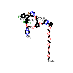 COCCOCCOCCOCCOCCOCCOCC1(c2nccc(COc3ccc4cc3C[C@H](C(=O)O)Oc3ncnc5sc(-c6ccc(F)cc6)c(c35)-c3c(C)c(Cl)c(c(Cl)c3C)O[C@H](CN3CCN(C)CC3)CO4)n2)CCC1